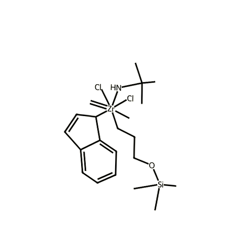 [CH2]=[Zr]([CH3])([Cl])([Cl])([CH2]CCO[Si](C)(C)C)([NH]C(C)(C)C)[CH]1C=Cc2ccccc21